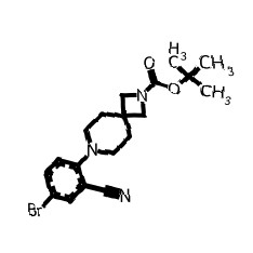 CC(C)(C)OC(=O)N1CC2(CCN(c3ccc(Br)cc3C#N)CC2)C1